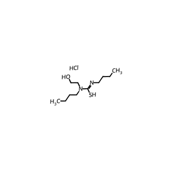 CCCCN=C(S)N(CCO)CCCC.Cl